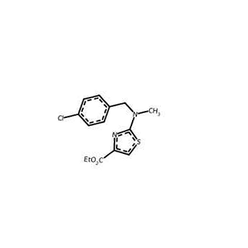 CCOC(=O)c1csc(N(C)Cc2ccc(Cl)cc2)n1